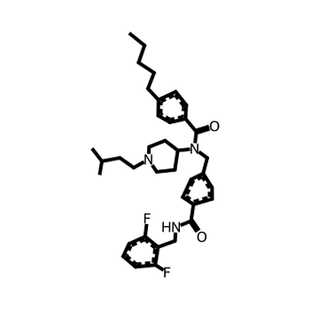 CCCCCc1ccc(C(=O)N(Cc2ccc(C(=O)NCc3c(F)cccc3F)cc2)C2CCN(CCC(C)C)CC2)cc1